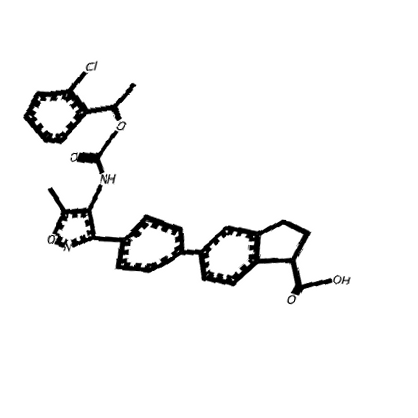 Cc1onc(-c2ccc(-c3ccc4c(c3)CCC4C(=O)O)cc2)c1NC(=O)OC(C)c1ccccc1Cl